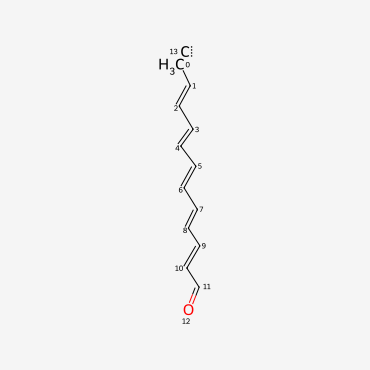 CC=CC=CC=CC=CC=CC=O.[C]